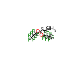 FC(F)(F)C(F)(F)C(F)(F)OC(C=C[SiH3])OC(F)(F)C(F)(F)C(F)(F)F